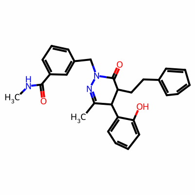 CNC(=O)c1cccc(CN2N=C(C)C(c3ccccc3O)C(CCc3ccccc3)C2=O)c1